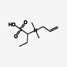 C=CC[N+](C)(C)C(CC)S(=O)(=O)O